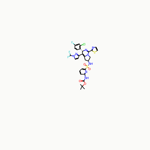 CC(C)(C)OC(=O)Nc1cccc(S(=O)(=O)N[C@H]2CC3=C(c4ccn(C(F)F)n4)[C@H](c4ccc(F)cc4Cl)N=C(c4nccs4)N3C2)n1